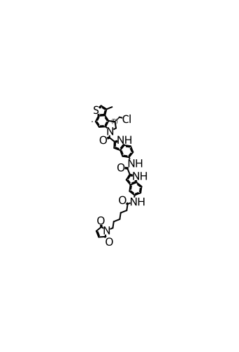 Cc1csc2[c]cc3c(c12)[C@@H](CCl)CN3C(=O)c1cc2cc(NC(=O)c3cc4cc(NC(=O)CCCCCN5C(=O)C=CC5=O)ccc4[nH]3)ccc2[nH]1